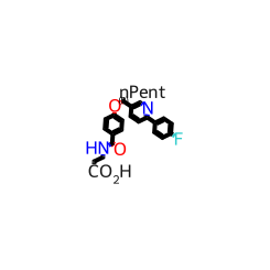 CCCCC[C@@H](Oc1ccc(C(=O)NCCC(=O)O)cc1)c1ccc(-c2ccc(F)cc2)nc1